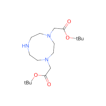 CC(C)(C)OC(=O)CN1CCNCCN(CC(=O)OC(C)(C)C)CC1